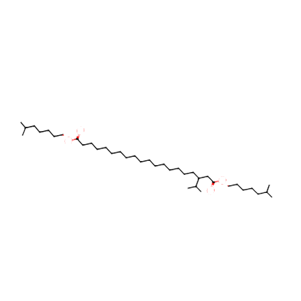 CC(C)CCCCCOC(=O)CCCCCCCCCCCCCCCCC(CC(=O)OCCCCCC(C)C)C(C)C